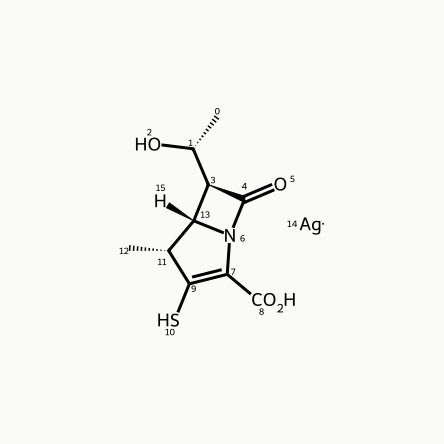 C[C@@H](O)[C@H]1C(=O)N2C(C(=O)O)=C(S)[C@H](C)[C@H]12.[Ag]